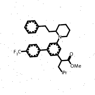 COC(=O)C(CC(C)C)c1cc(-c2ccc(C(F)(F)F)cc2)cc(N2CCCCC2CCc2ccccc2)c1